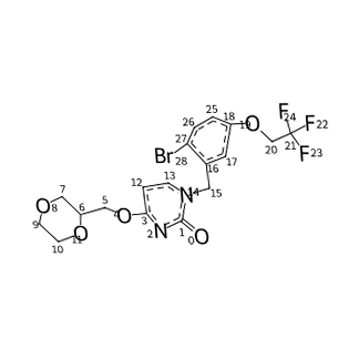 O=c1nc(OCC2COCCO2)ccn1Cc1cc(OCC(F)(F)F)ccc1Br